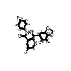 O=c1c2cc(F)cnc2c(-c2cc3c(c(F)c2F)OCO3)nn1-c1ccc(F)cc1